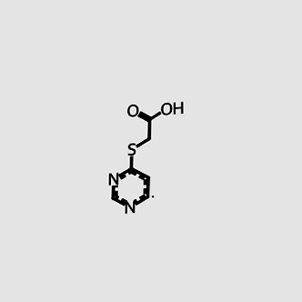 O=C(O)CSc1c[c]ncn1